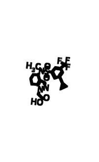 CN(C1CCCc2c1cnn2CC(=O)O)S(=O)(=O)c1cc(C2CC2)cc(C(F)(F)F)c1